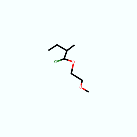 CCC(C)C(Cl)OCCOC